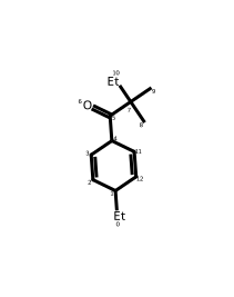 CCC1C=CC(C(=O)C(C)(C)CC)C=C1